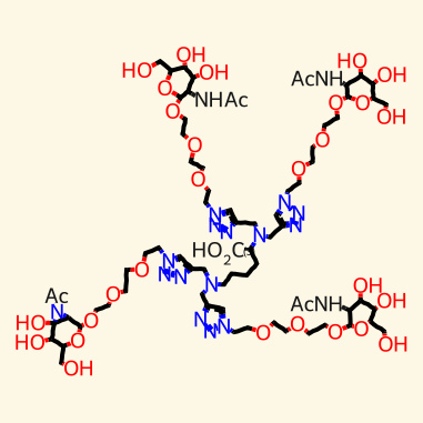 CC(=O)NC1C(OCCOCCOCCn2cc(CN(CCCC[C@@H](C(=O)O)N(Cc3cn(CCOCCOCCOC4OC(CO)C(O)C(O)C4NC(C)=O)nn3)Cc3cn(CCOCCOCCOC4OC(CO)C(O)C(O)C4NC(C)=O)nn3)Cc3cn(CCOCCOCCOC4OC(CO)C(O)C5(O)C4N5C(C)=O)nn3)nn2)OC(CO)C(O)C1O